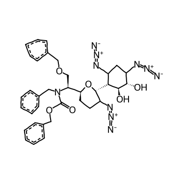 [N-]=[N+]=NC1CC(N=[N+]=[N-])[C@H](O)[C@@H](O)C1[C@H]1O[C@H]([C@H](COCc2ccccc2)N(Cc2ccccc2)C(=O)OCc2ccccc2)CCC1N=[N+]=[N-]